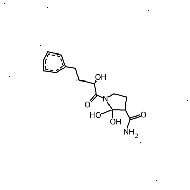 NC(=O)C1CCN(C(=O)[C@H](O)[CH]Cc2ccccc2)C1(O)O